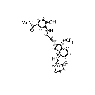 CNC(=O)c1ccc(O)c(NCC#Cc2cc3c(N[C@@H]4CCNC[C@@H]4F)cccn3c2SC(F)(F)F)c1